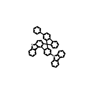 c1ccc(-c2ccc3c(c2)C2(c4ccccc4-3)c3cc(-n4c5ccccc5c5ccccc54)ccc3-c3c2ccc2sc4ccccc4c32)cc1